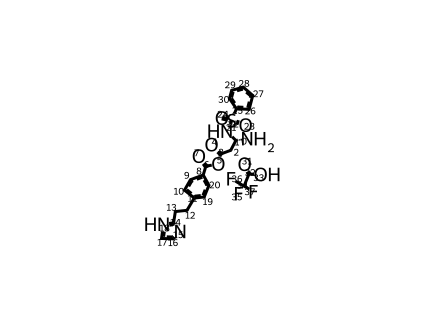 N[C@H](CC(=O)OC(=O)c1ccc(CCc2ncc[nH]2)cc1)NS(=O)(=O)c1ccccc1.O=C(O)C(F)(F)F